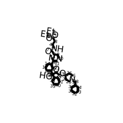 CCOC(CCNC(=O)c1cncc(-c2cccc([C@](O)(C(=O)COC3CCN(Cc4ccccc4)CC3)c3ccccc3)c2)n1)OCC